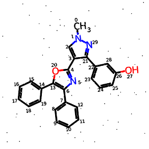 Cn1cc(-c2nc(-c3ccccc3)c(-c3ccccc3)o2)c(-c2cccc(O)c2)n1